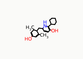 CC1=CC(O)=CC(C)C1CC1C=CC(O)=C(C2CCCCC2)N1